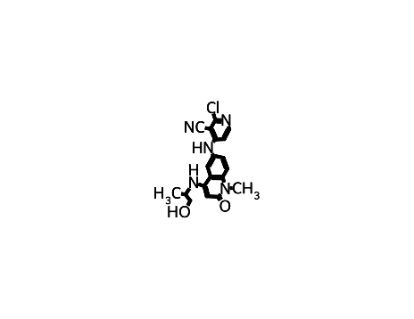 CC(CO)Nc1cc(=O)n(C)c2ccc(Nc3ccnc(Cl)c3C#N)cc12